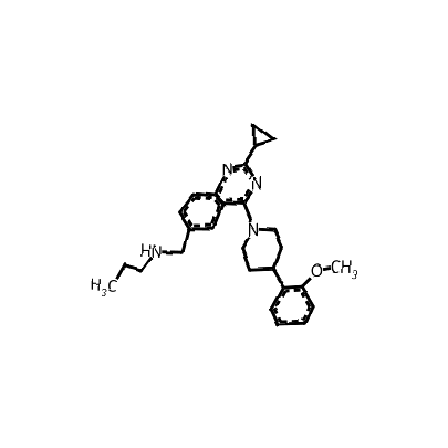 CCCNCc1ccc2nc(C3CC3)nc(N3CCC(c4ccccc4OC)CC3)c2c1